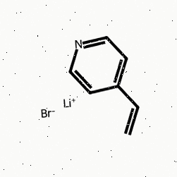 C=Cc1ccncc1.[Br-].[Li+]